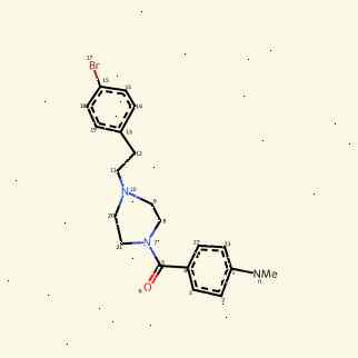 CNc1ccc(C(=O)N2CCN(CCc3ccc(Br)cc3)CC2)cc1